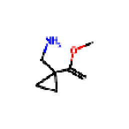 C=C(OC)C1(CN)CC1